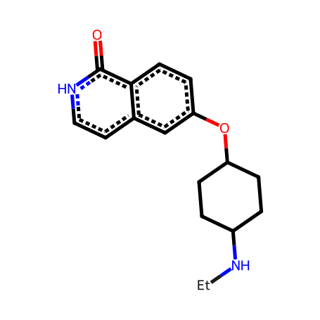 CCNC1CCC(Oc2ccc3c(=O)[nH]ccc3c2)CC1